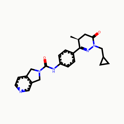 C[C@H]1CC(=O)N(CC2CC2)N=C1c1ccc(NC(=O)N2Cc3ccncc3C2)cc1